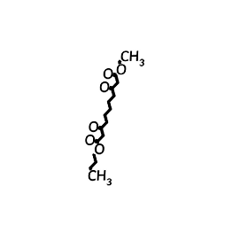 CCCCOC(=O)CC(=O)CCCCCC(=O)CC(=O)OCC